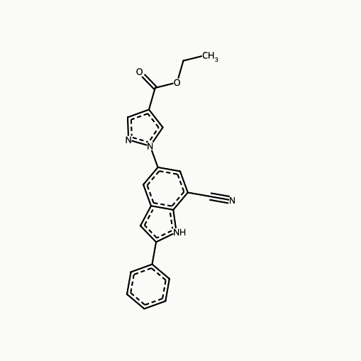 CCOC(=O)c1cnn(-c2cc(C#N)c3[nH]c(-c4ccccc4)cc3c2)c1